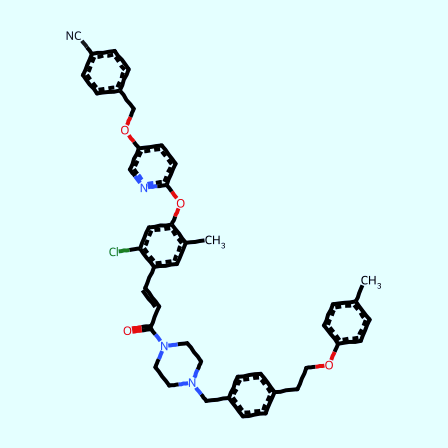 Cc1ccc(OCCc2ccc(CN3CCN(C(=O)C=Cc4cc(C)c(Oc5ccc(OCc6ccc(C#N)cc6)cn5)cc4Cl)CC3)cc2)cc1